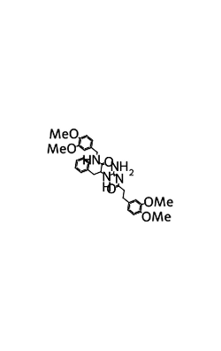 COc1ccc(CCC(=O)N=C(N)NC(Cc2ccccc2)C(=O)NCc2ccc(OC)c(OC)c2)cc1OC